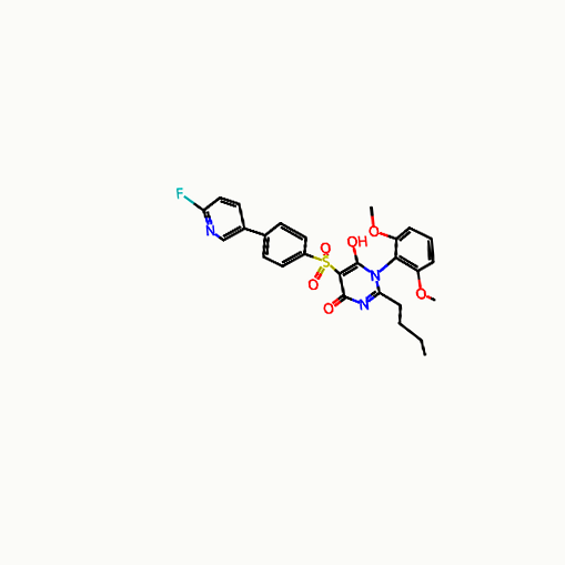 CCCCc1nc(=O)c(S(=O)(=O)c2ccc(-c3ccc(F)nc3)cc2)c(O)n1-c1c(OC)cccc1OC